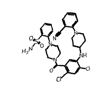 N#Cc1ccccc1N1CCC(Nc2cc(C(=O)N3CCN(c4ccccc4S(N)(=O)=O)CC3)c(Cl)cc2Cl)CC1